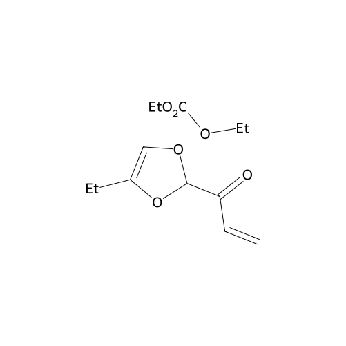 C=CC(=O)C1OC=C(CC)O1.CCOC(=O)OCC